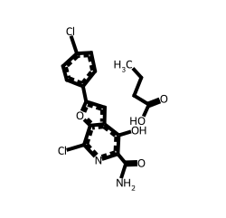 CCCC(=O)O.NC(=O)c1nc(Cl)c2oc(-c3ccc(Cl)cc3)cc2c1O